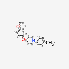 [CH2]c1ccc(N2CCC(Oc3ccc(OC(F)(F)F)cc3)CC2)cc1